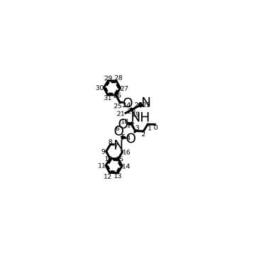 CCCC(OC(=O)N1CCc2ccccc2C1)C(=O)NC(C)(C#N)OCc1ccccc1